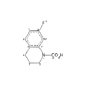 O=C(O)N1CCCc2ccc(F)cc21